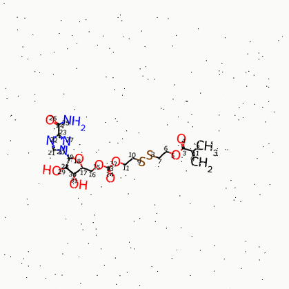 C=C(C)C(=O)OCCSSCCOC(=O)OCC1OC(n2cnc(C(N)=O)n2)C(O)C1O